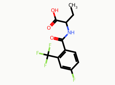 CCC(NC(=O)c1ccc(F)cc1C(F)(F)F)C(=O)O